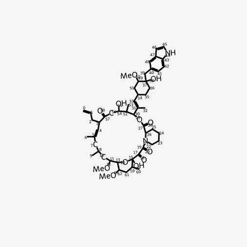 C=CCC1/C=C(\C)CC(C)CC(OC)C2OC(O)(C(=O)C(=O)N3CCCCC3C(=O)OC(C(C)=CC3CCC(O)(Cc4ccc5[nH]ccc5c4)C(OC)C3)C(C)C(O)CC1=O)C(C)CC2OC